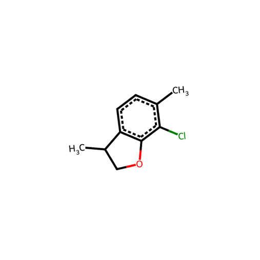 Cc1ccc2c(c1Cl)OCC2C